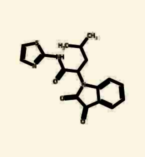 CC(C)CC(C(=O)Nc1nccs1)N1C(=O)C(=O)c2ccccc21